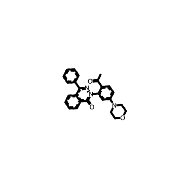 CC(=O)c1ccc(N2CCOCC2)cc1-n1nc(-c2ccccc2)c2ccccc2c1=O